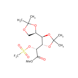 COC(=O)[C@H](OS(=O)(=O)C(F)(F)F)[C@H]1OC(C)(C)O[C@@H]1[C@H]1COC(C)(C)O1